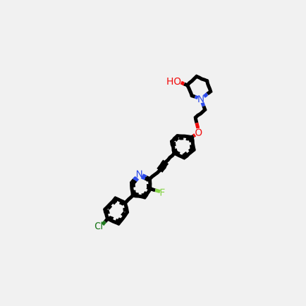 OC1CCCN(CCOc2ccc(C#Cc3ncc(-c4ccc(Cl)cc4)cc3F)cc2)C1